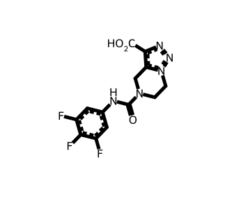 O=C(O)c1nnn2c1CN(C(=O)Nc1cc(F)c(F)c(F)c1)CC2